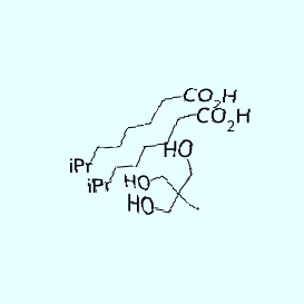 CC(C)CCCCCC(=O)O.CC(C)CCCCCC(=O)O.CC(CO)(CO)CO